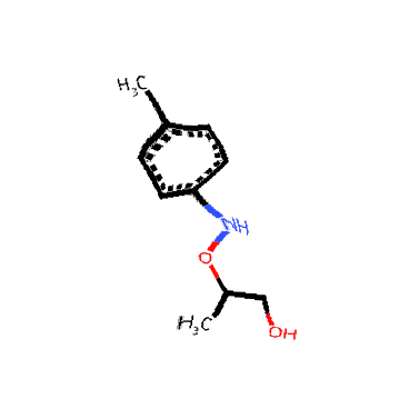 Cc1ccc(NOC(C)CO)cc1